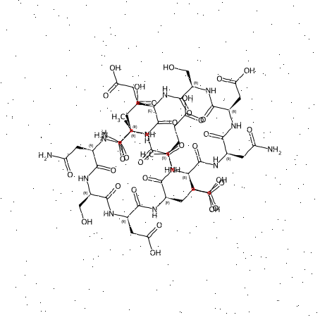 CC(=O)N[C@H](CC(=O)O)C(=O)N[C@H](CC(N)=O)C(=O)N[C@H](CC(=O)O)C(=O)N[C@H](CO)C(=O)N[C@H](CCC(=O)O)C(=O)N[C@H](CC(=O)O)C(=O)N[C@H](CC(N)=O)C(=O)N[C@H](CO)C(=O)N[C@H](CC(=O)O)C(=O)N[C@H](CCC(=O)O)C(=O)N[C@H](CCC(=O)O)C(=O)N[C@H](C)C(N)=O